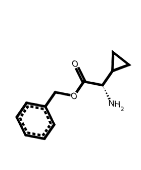 N[C@H](C(=O)OCc1ccccc1)C1CC1